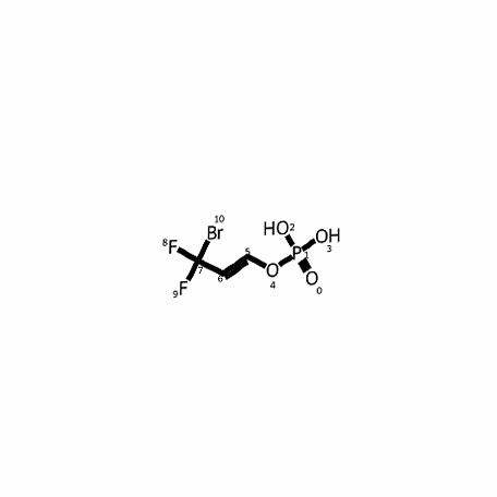 O=P(O)(O)OC=CC(F)(F)Br